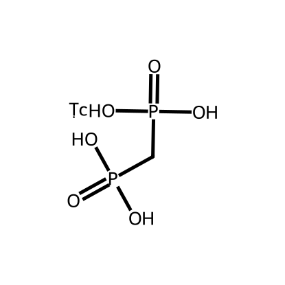 O=P(O)(O)CP(=O)(O)O.[Tc]